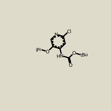 CC(C)Oc1cnc(Cl)cc1NC(=O)OC(C)(C)C